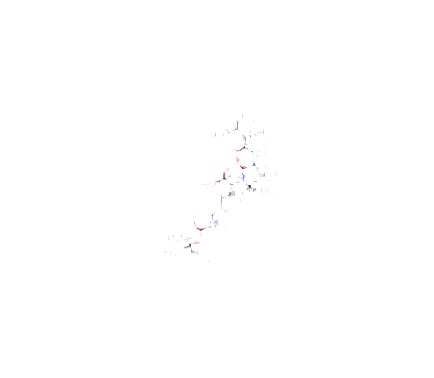 CC(C)[C@H](N)C(=O)N[C@@H](C)C(=O)N([C@@H](CCCCNC(=O)OC(C)(C)C)C(=O)O)C(C)(C)C